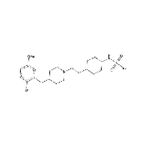 CCS(=O)(=O)NC1CCC(CCN2CCC(Cc3cc(OC)ccc3Br)CC2)CC1